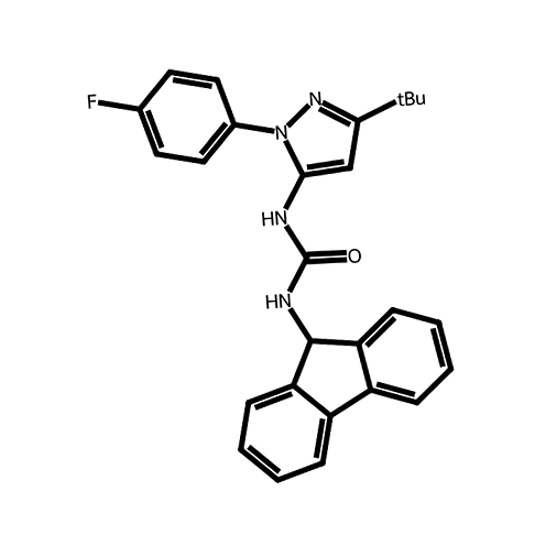 CC(C)(C)c1cc(NC(=O)NC2c3ccccc3-c3ccccc32)n(-c2ccc(F)cc2)n1